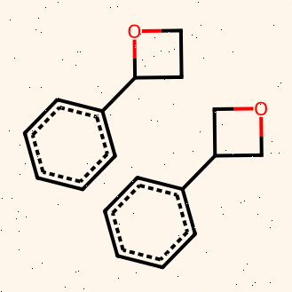 c1ccc(C2CCO2)cc1.c1ccc(C2COC2)cc1